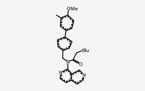 COc1ccc(-c2ccc(CN(C(=O)CC(C)(C)C)c3nccc4ccncc34)cc2)cc1C